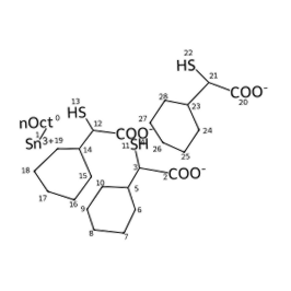 CCCCCCC[CH2][Sn+3].O=C([O-])C(S)C1CCCCC1.O=C([O-])C(S)C1CCCCC1.O=C([O-])C(S)C1CCCCC1